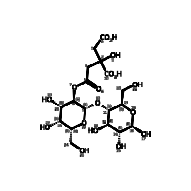 O=C(O)CC(O)(CC(=O)O[C@H]1[C@H](O[C@H]2[C@H](O)[C@@H](O)[C@H](O)O[C@@H]2CO)O[C@H](CO)[C@H](O)[C@@H]1O)C(=O)O